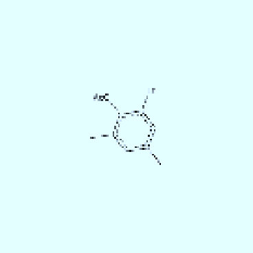 CCc1cc(C)cc(C)c1OC(C)=O